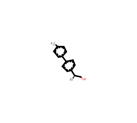 CC[C@H](CO)c1ccc(-c2ccc(C(F)(F)F)cc2)cc1